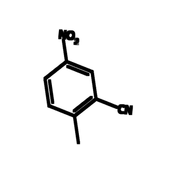 Cc1ccc([N+](=O)[O-])cc1C#N